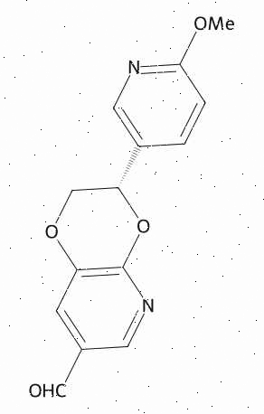 COc1ccc([C@H]2COc3cc(C=O)cnc3O2)cn1